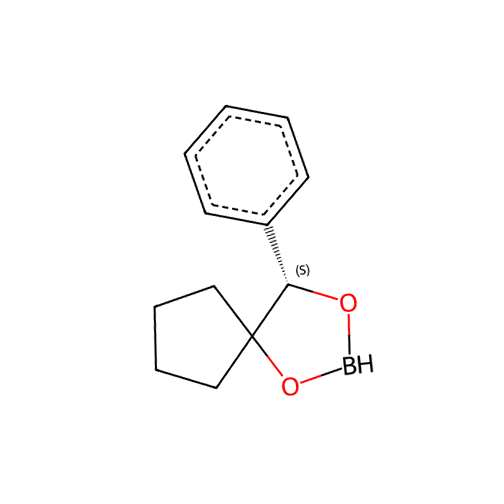 B1O[C@@H](c2ccccc2)C2(CCCC2)O1